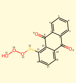 O=C1c2ccccc2C(=O)c2c(SOOO)cccc21